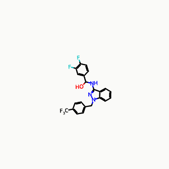 OC(Nc1nn(Cc2ccc(C(F)(F)F)cc2)c2ccccc12)c1ccc(F)c(F)c1